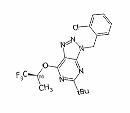 C[C@H](Oc1nc(C(C)(C)C)nc2c1nnn2Cc1ccccc1Cl)C(F)(F)F